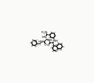 N=C(N)c1cccc(NC(C(=O)NCC(=O)NCc2cccnc2)c2ccnc3ccccc23)c1